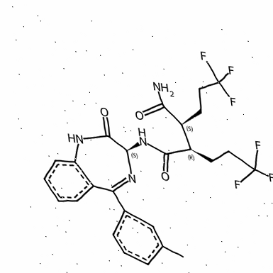 Cc1cccc(C2=N[C@H](NC(=O)[C@H](CCC(F)(F)F)[C@H](CCC(F)(F)F)C(N)=O)C(=O)Nc3ccccc32)c1